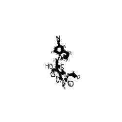 CCn1c(=O)n(C)c(=O)c2c(C(=O)O)c(Cn3ccc4cc(C#N)ccc43)sc21